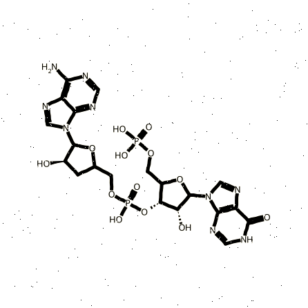 Nc1ncnc2c1ncn2C1OC(COP(=O)(O)O[C@@H]2C(COP(=O)(O)O)OC(n3cnc4c(=O)[nH]cnc43)[C@@H]2O)C[C@H]1O